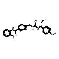 O=C(NCc1ccc(C(=O)Nc2ccccc2S)cc1)O[C@H](CO)c1ccc(O)cc1